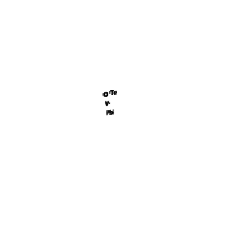 [O].[Pb].[Te].[V]